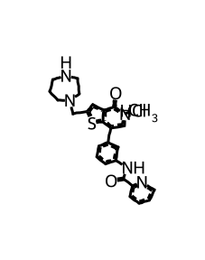 Cl.Cn1cc(-c2cccc(NC(=O)c3ccccn3)c2)c2sc(CN3CCCNCC3)cc2c1=O